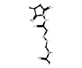 CC(=O)NCSSCC(=O)ON1C(=O)CC(C)C1=O